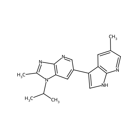 Cc1cnc2[nH]cc(-c3cnc4nc(C)n(C(C)C)c4c3)c2c1